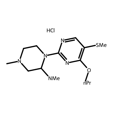 CCCOc1nc(N2CCN(C)CC2NC)ncc1SC.Cl